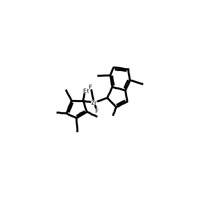 CC[C]1([Zr]([F])([F])[CH]2C(C)=Cc3c(C)ccc(C)c32)C(C)=C(C)C(C)=C1C